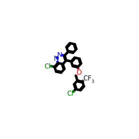 FC(F)(F)c1ccc(Cl)cc1COc1cccc(-c2c(-c3ccccc3)nnc3c(Cl)cccc23)c1